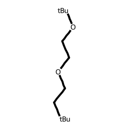 CC(C)(C)CCOCCOC(C)(C)C